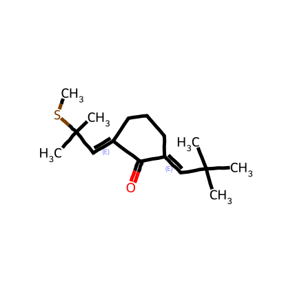 CSC(C)(C)/C=C1\CCC/C(=C\C(C)(C)C)C1=O